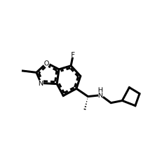 Cc1nc2cc([C@@H](C)NCC3CCC3)cc(F)c2o1